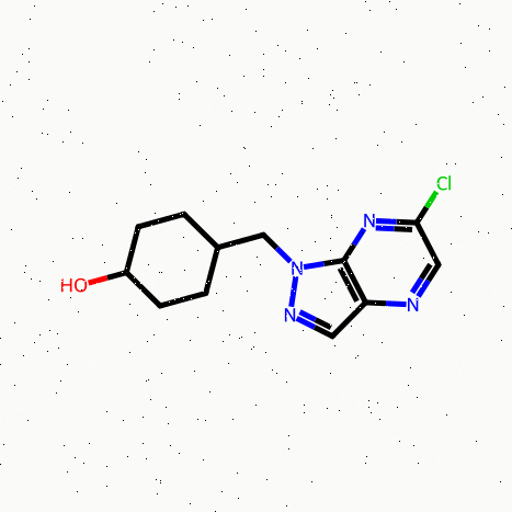 OC1CCC(Cn2ncc3ncc(Cl)nc32)CC1